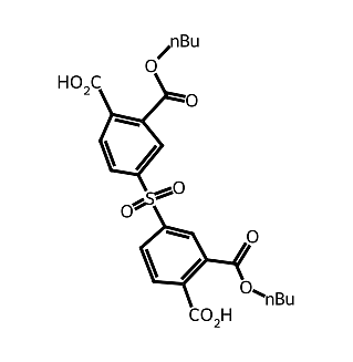 CCCCOC(=O)c1cc(S(=O)(=O)c2ccc(C(=O)O)c(C(=O)OCCCC)c2)ccc1C(=O)O